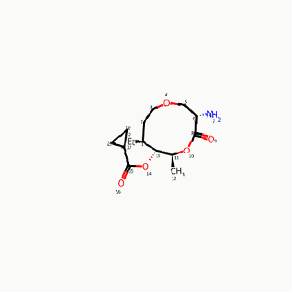 CC[C@H]1CCOC[C@H](N)C(=O)O[C@@H](C)[C@@H]1OC(=O)C1CC1